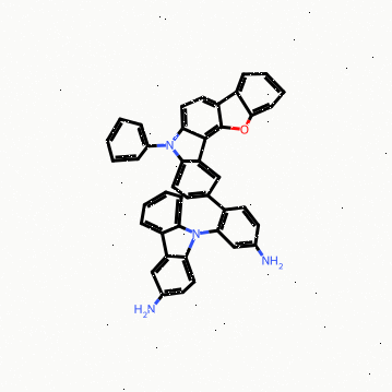 Nc1ccc(-c2ccc3c(c2)c2c4oc5ccccc5c4ccc2n3-c2ccccc2)c(-n2c3ccccc3c3cc(N)ccc32)c1